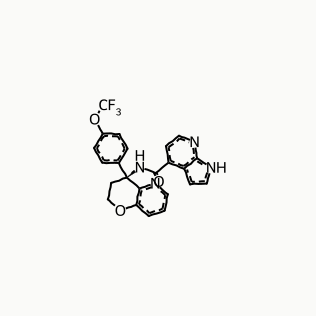 O=C(N[C@]1(c2ccc(OC(F)(F)F)cc2)CCOc2cccnc21)c1ccnc2[nH]ccc12